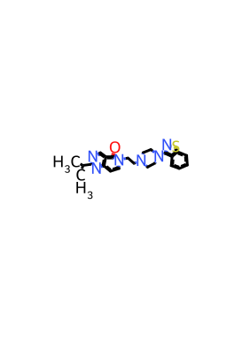 CC(C)c1ncc2c(=O)n(CCN3CCN(c4nsc5ccccc45)CC3)ccc2n1